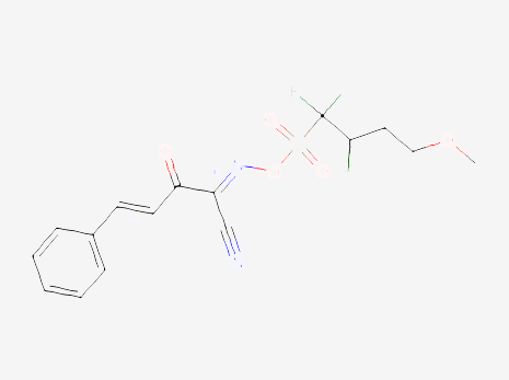 COCCC(F)C(F)(F)S(=O)(=O)O/N=C(\C#N)C(=O)/C=C/c1ccccc1